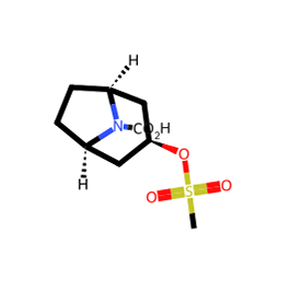 CS(=O)(=O)O[C@H]1C[C@H]2CC[C@@H](C1)N2C(=O)O